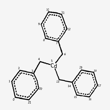 c1ccc([CH2][Cd]([CH2]c2ccccc2)[CH2]c2ccccc2)cc1